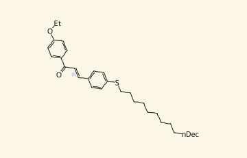 CCCCCCCCCCCCCCCCCCCSc1ccc(/C=C/C(=O)c2ccc(OCC)cc2)cc1